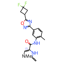 C=CN/C(=C\NC)C(=O)Nc1cc(-c2noc(C3CC(F)(F)C3)n2)ccc1C